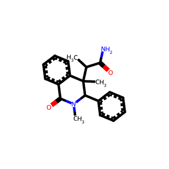 CC(C(N)=O)C1(C)c2ccccc2C(=O)N(C)C1c1ccccc1